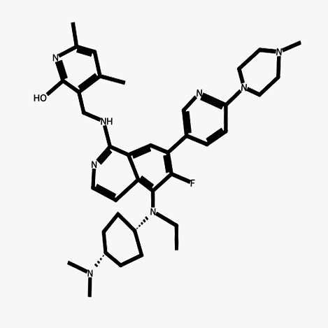 CCN(c1c(F)c(-c2ccc(N3CCN(C)CC3)nc2)cc2c(NCc3c(C)cc(C)nc3O)nccc12)[C@H]1CC[C@@H](N(C)C)CC1